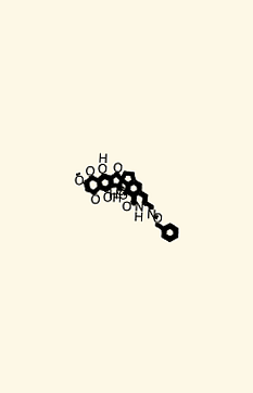 COC1=CC(=O)c2c(O)c3c(c(O)c2C1=O)C(=O)C1(CCc2cc4cc(C=NOCc5ccccc5)[nH]c(=O)c4c(O)c21)C3=O